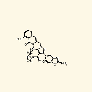 CCCCCn1c(Cn2nc(-c3ccc4oc(N)nc4c3)c(/C(N)=N\C)c2NC)cc2cccc(C)c2c1=O